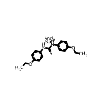 CCOc1ccc(NC(=S)Nc2ccc(OCC)cc2)cc1.[NaH].[SnH2]